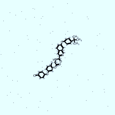 CC(C)(C)c1ccc(Oc2ccc3cc(C(=O)N[C@@H](Cc4ccc(Oc5ccc(Cl)cc5)cc4)C(=O)O)ncc3c2)cc1